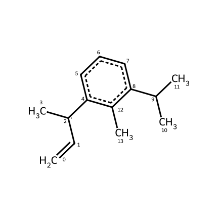 C=C[C](C)c1cccc(C(C)C)c1C